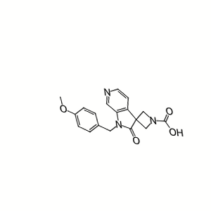 COc1ccc(CN2C(=O)C3(CN(C(=O)O)C3)c3ccncc32)cc1